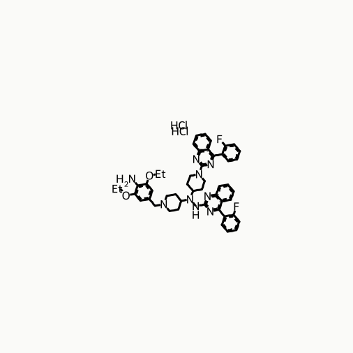 CCOc1cc(CN2CCC(N(Nc3nc(-c4ccccc4F)c4ccccc4n3)C3CCN(c4nc(-c5ccccc5F)c5ccccc5n4)CC3)CC2)cc(OCC)c1N.Cl.Cl